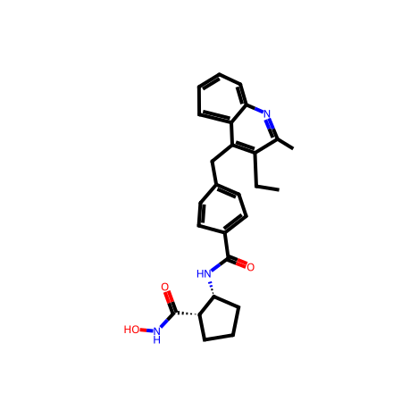 CCc1c(C)nc2ccccc2c1Cc1ccc(C(=O)N[C@@H]2CCC[C@@H]2C(=O)NO)cc1